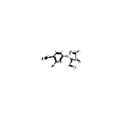 CC1=NN(c2ccc(C#N)c(F)c2)C(C=O)N1C